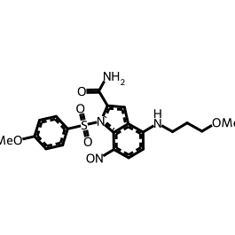 COCCCNc1ccc(N=O)c2c1cc(C(N)=O)n2S(=O)(=O)c1ccc(OC)cc1